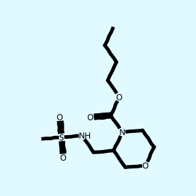 CCCCOC(=O)N1CCOCC1CNS(C)(=O)=O